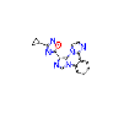 c1ccc2c(c1)c1nccn1c1c(-c3nc(C4CC4)no3)ncn21